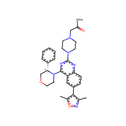 CNC(=O)CN1CCN(c2nc(N3CCOC[C@@H]3c3ccccc3)c3cc(-c4c(C)noc4C)ccc3n2)CC1